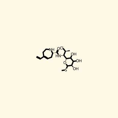 C=CC1=CC[C@@H](C(=O)N[C@H]([C@H](C)Cl)[C@H]2OC(SC)[C@H](O)C(O)C2O)NCC1